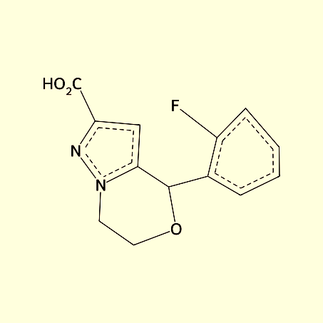 O=C(O)c1cc2n(n1)CCOC2c1ccccc1F